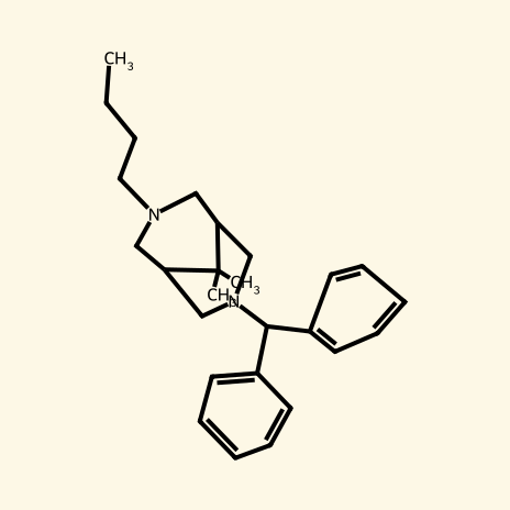 CCCCN1CC2CN(C(c3ccccc3)c3ccccc3)CC(C1)C2(C)C